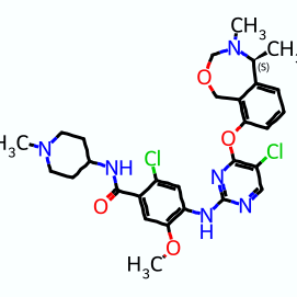 COc1cc(C(=O)NC2CCN(C)CC2)c(Cl)cc1Nc1ncc(Cl)c(Oc2cccc3c2COCN(C)[C@H]3C)n1